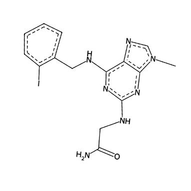 Cn1cnc2c(NCc3ccccc3I)nc(NCC(N)=O)nc21